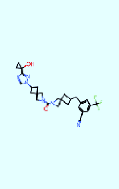 N#Cc1cc(CC2CC3(C2)CN(C(=O)N2CC4(CC(n5cnc(C6(O)CC6)n5)C4)C2)C3)cc(C(F)(F)F)c1